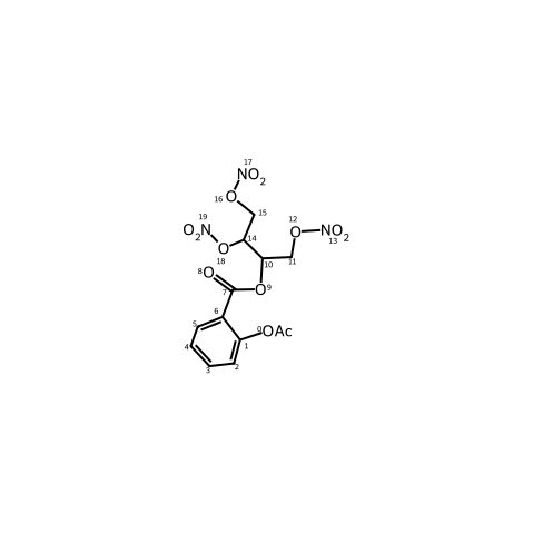 CC(=O)Oc1ccccc1C(=O)OC(CO[N+](=O)[O-])C(CO[N+](=O)[O-])O[N+](=O)[O-]